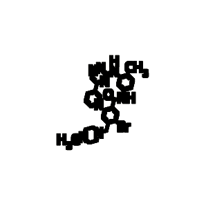 Cc1ccc(NC(=O)c2ccc(CN3CCN(C)CC3)c(Br)c2)cc1Nc1nncc(-c2cccnc2)n1